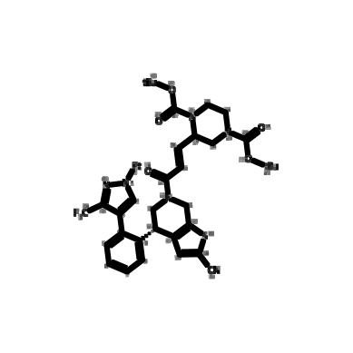 CCn1cc(-c2ccccc2[C@@H]2CN(C(=O)/C=C/C3CN(C(=O)OC(C)(C)C)CCN3C(=O)OC(C)(C)C)Cc3sc(C#N)cc32)c(C(F)(F)F)n1